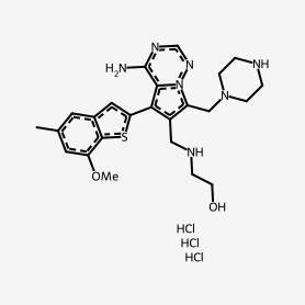 COc1cc(C)cc2cc(-c3c(CNCCO)c(CN4CCNCC4)n4ncnc(N)c34)sc12.Cl.Cl.Cl